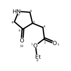 CCOC(=O)CC1CNCC1=O